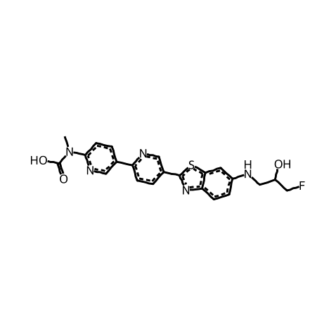 CN(C(=O)O)c1ccc(-c2ccc(-c3nc4ccc(NCC(O)CF)cc4s3)cn2)cn1